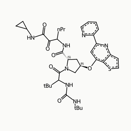 CCCC(NC(=O)[C@@H]1C[C@@H](Oc2cc(-c3ccccn3)nc3ccsc23)CN1C(=O)C(NC(=O)NC(C)(C)C)C(C)(C)C)C(=O)C(=O)NC1CC1